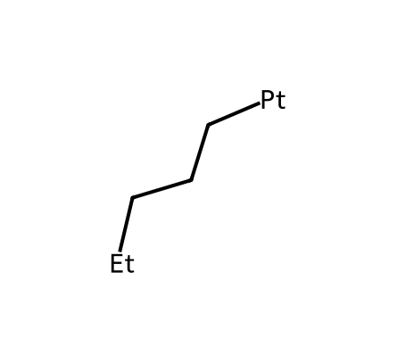 CCCC[CH2][Pt]